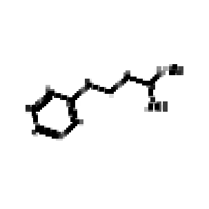 CCCCC(O)CCCc1ccccc1